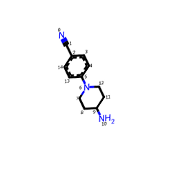 N#Cc1ccc(N2CCC(N)CC2)cc1